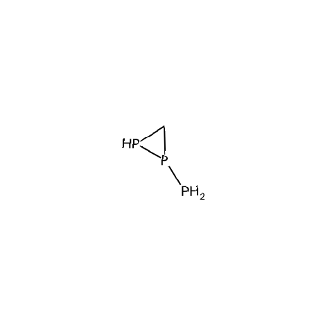 PP1CP1